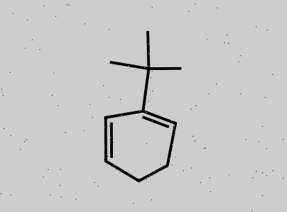 CC(C)(C)C1=CCCC=C1